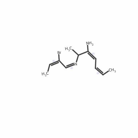 C/C=C\C=C(\N)C(C)/N=C\C(Br)=C/C